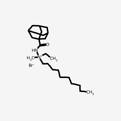 CCCCCCCCCC[N+](C)(CC)NC(=O)C12CC3CC(CC(C3)C1)C2.[Br-]